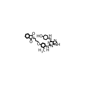 Cc1cc(OCCCN2C(=O)c3ccccc3C2=O)ccc1Nc1nc(NC2CCC(O)CC2)c2nc[nH]c2n1